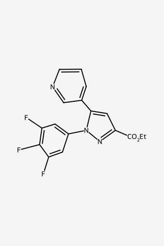 CCOC(=O)c1cc(-c2cccnc2)n(-c2cc(F)c(F)c(F)c2)n1